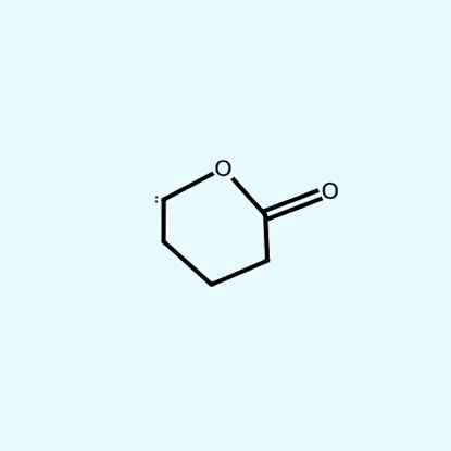 O=C1CCC[C]O1